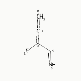 C=C=C(F)C=N